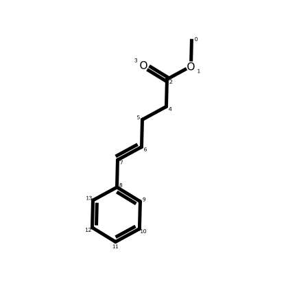 COC(=O)CCC=Cc1ccccc1